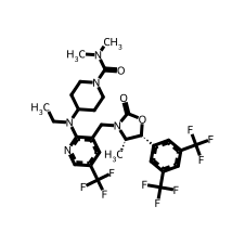 CCN(c1ncc(C(F)(F)F)cc1CN1C(=O)O[C@H](c2cc(C(F)(F)F)cc(C(F)(F)F)c2)[C@@H]1C)C1CCN(C(=O)N(C)C)CC1